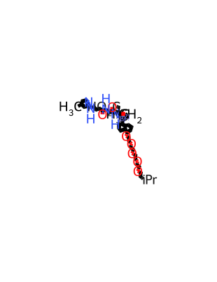 C=C(/C=C(\C=C/C)c1cccc2c(OCCOCCOCCOCCOCCC(C)C)cccc12)[C@H](CC(=O)O)NC(=O)CNC(=O)CCCNc1cc(C)ccn1